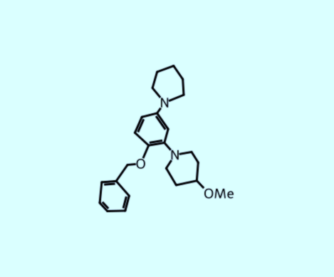 COC1CCN(c2cc(N3CCCCC3)ccc2OCc2ccccc2)CC1